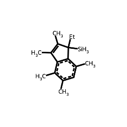 CCC1([SiH3])C(C)=C(C)c2c(C)c(C)cc(C)c21